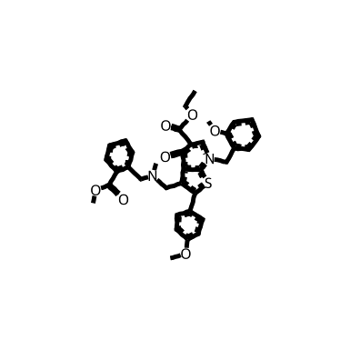 CCOC(=O)c1cn(Cc2ccccc2OC)c2sc(-c3ccc(OC)cc3)c(CN(C)Cc3ccccc3C(=O)OC)c2c1=O